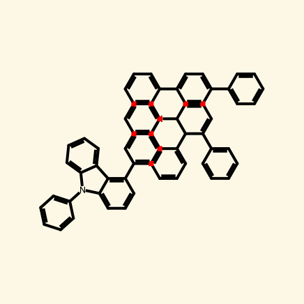 C1=CC(N(c2ccc(-c3cccc4c3c3ccccc3n4-c3ccccc3)cc2)c2ccccc2-c2ccc(-c3ccccc3)cc2)C(c2ccccc2-c2ccccc2)C(c2ccccc2)=C1